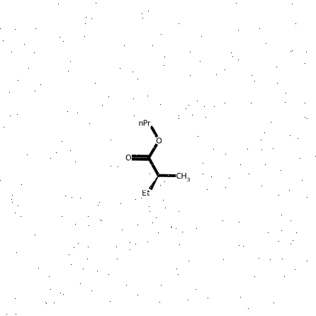 CCCOC(=O)[C@@H](C)CC